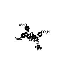 COc1ccc(CN(Cc2ccc(OC)cc2)c2ccc(C(F)(F)F)c(-c3cc4nc(OC[C@@H]5C[C@@H](F)[C@H](C)N5C)nc(N5CCN(C(=O)O)CC5)c4cc3Cl)n2)cc1